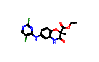 CCOC(=O)C1(C)Oc2ccc(Nc3nc(Cl)ncc3F)cc2NC1=O